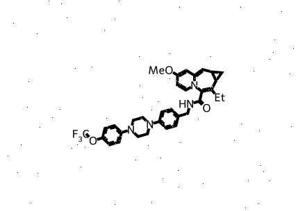 CCC1=C(C(=O)NCc2ccc(N3CCN(c4ccc(OC(F)(F)F)cc4)CC3)cc2)N2C=CC(OC)=CC2=CC2CC12